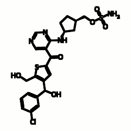 NS(=O)(=O)OC[C@@H]1CC[C@H](Nc2ncncc2C(=O)c2cc(C(O)c3cccc(Cl)c3)c(CO)s2)C1